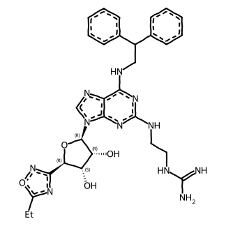 CCc1nc([C@H]2O[C@@H](n3cnc4c(NCC(c5ccccc5)c5ccccc5)nc(NCCNC(=N)N)nc43)[C@H](O)[C@@H]2O)no1